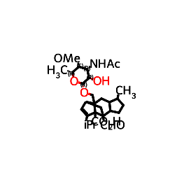 CO[C@H]1[C@H](NC(C)=O)[C@@H](O)[C@H](OCC23CC4C(C)CCC4C4(C=O)CC2C=C(C(C)C)C43C(=O)O)O[C@@H]1C